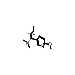 CC[C@@H](C)[C@H](c1ccc(OC)nc1)N(C)C